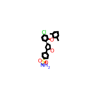 Cc1cccc(C)c1Oc1cc(Cl)ccc1[C@H]1CC(=O)C(c2ccc(S(N)(=O)=O)cc2)C1